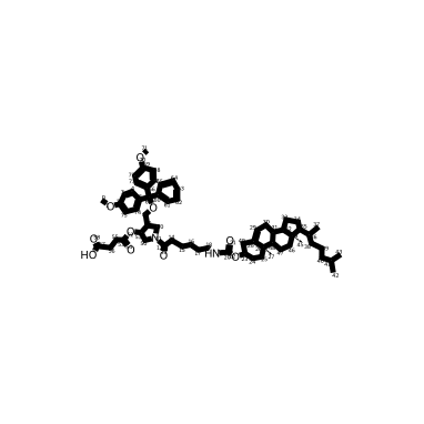 COc1ccc(C(OCC2CN(C(=O)CCCCCNC(=O)OC3CC[C@@]4(C)C(=CCC5C6CCC(C(C)CCCC(C)C)[C@@]6(C)CCC54)C3)CC2OC(=O)CCC(=O)O)(c2ccccc2)c2ccc(OC)cc2)cc1